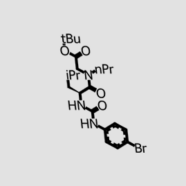 CCCN(CC(=O)OC(C)(C)C)C(=O)[C@H](CC(C)C)NC(=O)Nc1ccc(Br)cc1